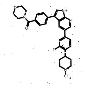 CN1CCC(c2ccc(-c3cnc4[nH]cc(-c5ccc(C(=O)N6CCOCC6)cc5)c4c3)cc2F)CC1